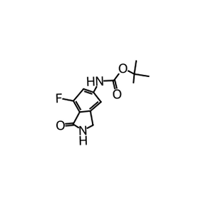 CC(C)(C)OC(=O)Nc1cc(F)c2c(c1)CNC2=O